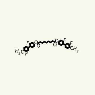 Cc1ccc(-c2ccc(OC(=O)CCCCCCCC(=O)Oc3ccc(-c4ccc(C)c(F)c4)c(F)c3)cc2F)cc1F